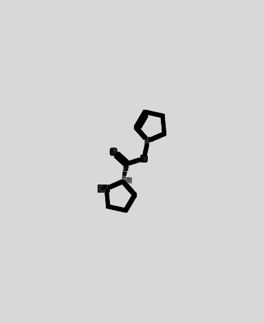 O=C(OP1C=CCC1)[C@@H]1CCCN1